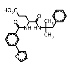 CC(C)(Cc1ccccc1)NC(=O)[C@H](CCC(=O)O)NC(=O)c1cccc(-c2cccs2)c1